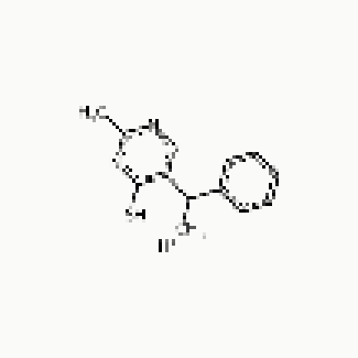 Cc1nnc(C(C)c2ccccc2)c(S)n1.[H+]